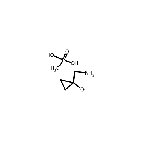 CP(=O)(O)O.NCC1([O])CC1